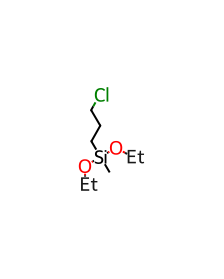 CCO[Si](C)(CCCCl)OCC